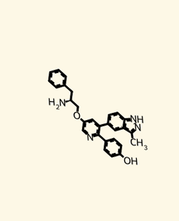 Cc1n[nH]c2ccc(-c3cc(OC[C@@H](N)Cc4ccccc4)cnc3-c3ccc(O)cc3)cc12